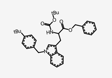 CC(C)(C)OC(=O)NC(Cc1cn(Cc2ccc(C(C)(C)C)cc2)c2ccccc12)C(=O)OCc1ccccc1